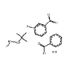 CC(C)(C)NNF.Cl.O=C(Cl)c1cccc(F)c1.O=C(Cl)c1ccccc1